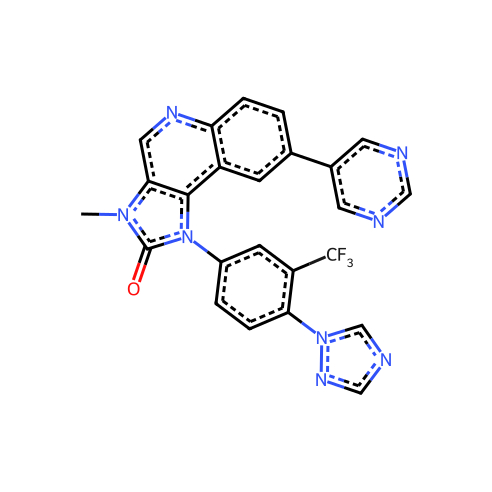 Cn1c(=O)n(-c2ccc(-n3cncn3)c(C(F)(F)F)c2)c2c3cc(-c4cncnc4)ccc3ncc21